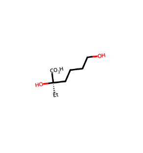 CC[C@@](O)(CCCCO)C(=O)O